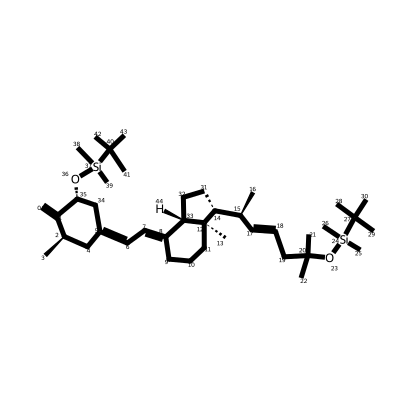 C=C1[C@H](C)C/C(=C/C=C2\CCC[C@]3(C)[C@@H]([C@@H](C)/C=C/CC(C)(C)O[Si](C)(C)C(C)(C)C)CC[C@@H]23)C[C@H]1O[Si](C)(C)C(C)(C)C